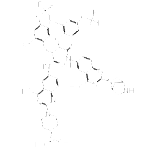 Cc1nc(N2CCC(N(C)C)CC2)nc2ccc(NC(=O)C(Oc3ccc(OC(F)(F)F)cc3Cl)C(Oc3ccc(OC(F)(F)F)cc3Cl)C(=O)Nc3ccc4nc(N5CC6CC5CN6)nc(C)c4c3)cc12